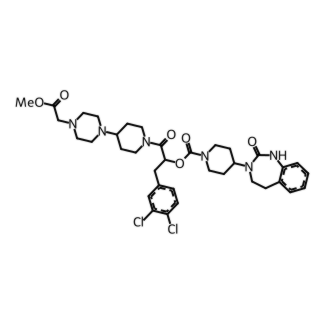 COC(=O)CN1CCN(C2CCN(C(=O)C(Cc3ccc(Cl)c(Cl)c3)OC(=O)N3CCC(N4CCc5ccccc5NC4=O)CC3)CC2)CC1